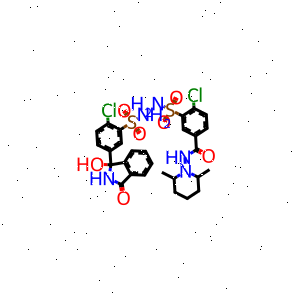 CC1CCCC(C)N1NC(=O)c1ccc(Cl)c(S(N)(=O)=O)c1.NS(=O)(=O)c1cc(C2(O)NC(=O)c3ccccc32)ccc1Cl